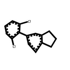 Clc1[c]ccc(Cl)c1-c1ccc2c(c1)CCC2